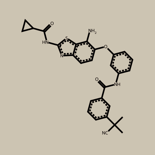 CC(C)(C#N)c1cccc(C(=O)Nc2cccc(Oc3ccc4nc(NC(=O)C5CC5)sc4c3N)c2)c1